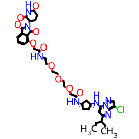 CCC(CC)c1cc(N[C@H]2CC[C@H](NC(=O)COCCOCCOCCNC(=O)COc3cccc4c3C(=O)N(C3CCC(=O)NC3=O)C4=O)C2)n2ncc(Cl)c2n1